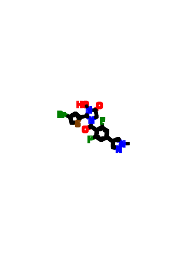 Cn1cc(-c2cc(F)c(C(=O)N3CC(=O)N(O)C3c3cc(Br)cs3)c(F)c2)cn1